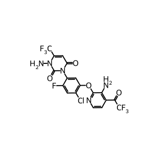 Nc1c(C(=O)C(F)(F)F)ccnc1Oc1cc(-n2c(=O)cc(C(F)(F)F)n(N)c2=O)c(F)cc1Cl